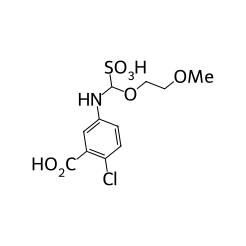 COCCOC(Nc1ccc(Cl)c(C(=O)O)c1)S(=O)(=O)O